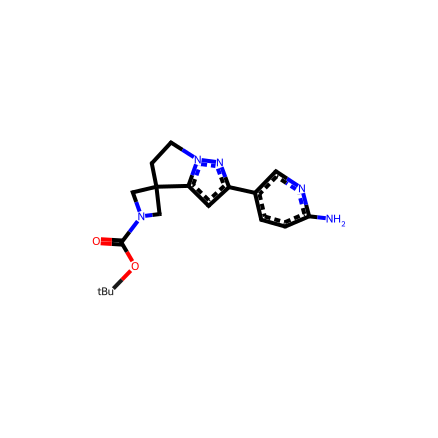 CC(C)(C)OC(=O)N1CC2(CCn3nc(-c4ccc(N)nc4)cc32)C1